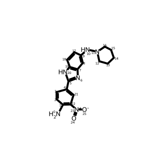 Nc1ccc(-c2nc3cc(NN4CCCCC4)ccc3[nH]2)cc1[N+](=O)[O-]